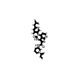 C=C(CC)N1CCC[C@@H](NC(=O)c2sc3nccc4c3c2NC(=O)N4c2cnc(CC(C)C)cc2C)C1